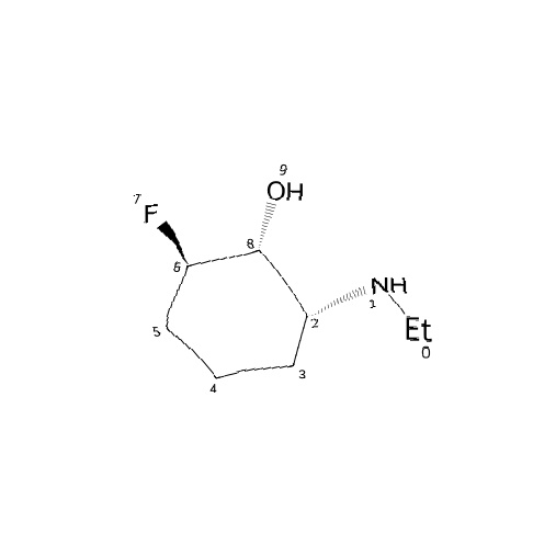 CCN[C@@H]1CCC[C@@H](F)[C@@H]1O